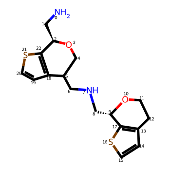 NC[C@H]1OCC(CNC[C@@H]2OCCc3ccsc32)c2ccsc21